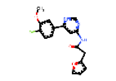 COc1cc(-c2cc(NC(=O)Cc3ccco3)ncn2)ccc1F